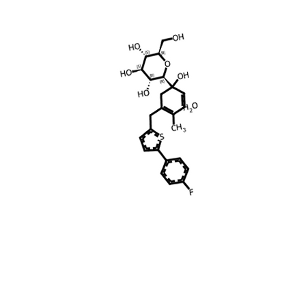 CC1=C(Cc2ccc(-c3ccc(F)cc3)s2)CC(O)([C@@H]2O[C@H](CO)[C@@H](O)[C@H](O)[C@H]2O)C=C1.O